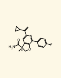 C=C(c1cc2c(c(-c3ccc(F)cc3)n1)OC[C@]2(C)C(N)=O)C1CC1